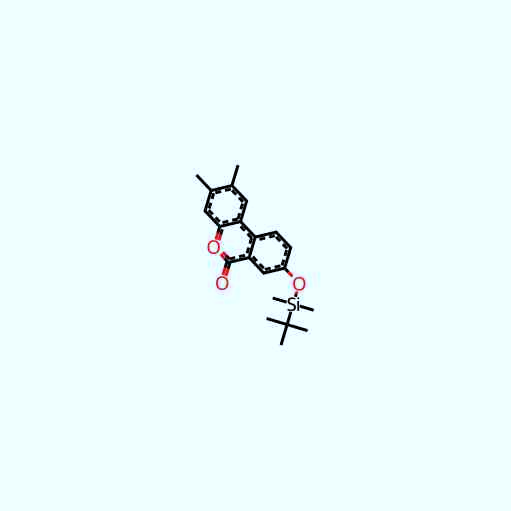 Cc1cc2oc(=O)c3cc(O[Si](C)(C)C(C)(C)C)ccc3c2cc1C